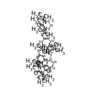 C[Si](C)(C)N1CCCN([Si](C)(C)CC2=CCN([Si](C)(C)C)C(=O)N([Si](C)(C)Cc3ccc(C4(c5ccccc5)C(=O)N([Si](C)(C)C)C(=O)N4[Si](C)(C)C)cc3)C2)C1=O